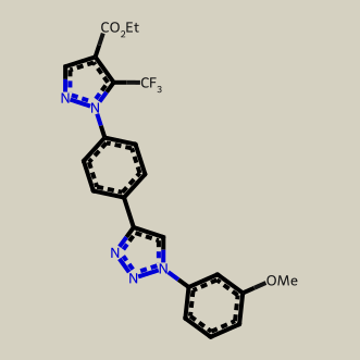 CCOC(=O)c1cnn(-c2ccc(-c3cn(-c4cccc(OC)c4)nn3)cc2)c1C(F)(F)F